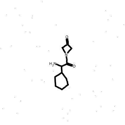 NC(C(=O)N1CC(=O)C1)C1CCCCC1